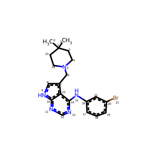 CC1(C)CCN(Cc2c[nH]c3ncnc(Nc4cccc(Br)c4)c23)CC1